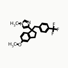 COc1ccc2c(c1)CCC2(Cc1ccc(C(F)(F)F)cc1)c1cn(C)cn1